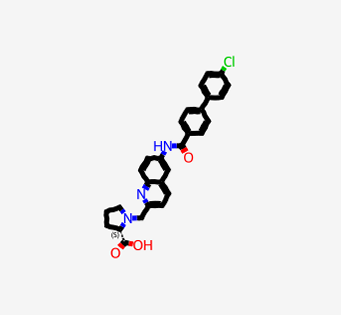 O=C(Nc1ccc2nc(CN3CCC[C@H]3C(=O)O)ccc2c1)c1ccc(-c2ccc(Cl)cc2)cc1